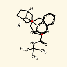 CC(C)(NC(=O)c1nc2ccccc2n([C@H]2C[C@H]3CC[C@@H](C2)N3C2CCCCCCC2)c1=O)C(=O)O